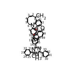 C=C1/C=C\C=C/CN(c2ccc(-c3ccc(C4=NC(C)(c5ccccc5)NC(c5ccccc5)=N4)cc3)cc2)c2c1ccc1c2Oc2c(ccc3ccccc23)O1